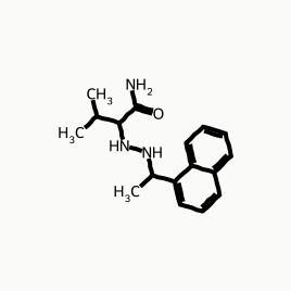 CC(NNC(C(N)=O)C(C)C)c1cccc2ccccc12